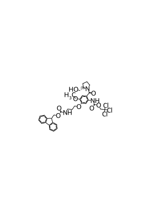 COc1cc(C(=O)N2CCC[C@H]2CO)c(NC(=O)OCC(Cl)(Cl)Cl)cc1OCCCNC(=O)OCC1c2ccccc2-c2ccccc21